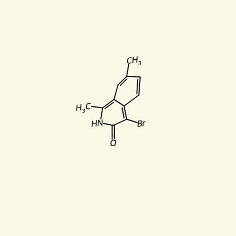 Cc1ccc2c(Br)c(=O)[nH]c(C)c2c1